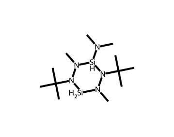 CN1[SiH2]N(C(C)(C)C)N(C)[SiH](N(C)C)N1C(C)(C)C